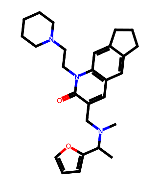 CC(c1ccco1)N(C)Cc1cc2cc3c(cc2n(CCN2CCCCC2)c1=O)CCC3